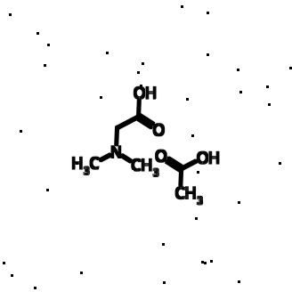 CC(=O)O.CN(C)CC(=O)O